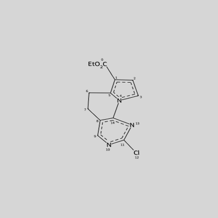 CCOC(=O)c1ccn2c1CCc1cnc(Cl)nc1-2